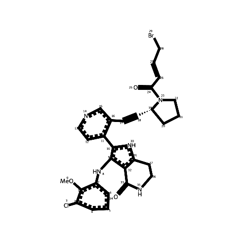 COc1c(Cl)cccc1Nc1c(-c2ccncc2C#C[C@H]2CCCN2C(=O)/C=C/CBr)[nH]c2c1C(=O)NCC2